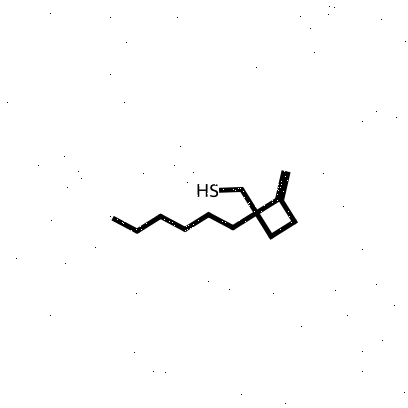 C=C1CCC1(CS)CCCCCC